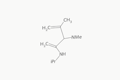 C=C(C)C(NC)C(=C)NC(C)C